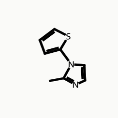 Cc1nccn1-c1cccs1